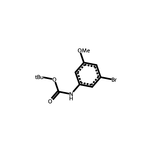 COc1cc(Br)cc(NC(=O)OC(C)(C)C)c1